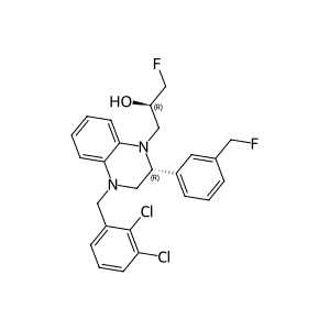 O[C@@H](CF)CN1c2ccccc2N(Cc2cccc(Cl)c2Cl)C[C@H]1c1cccc(CF)c1